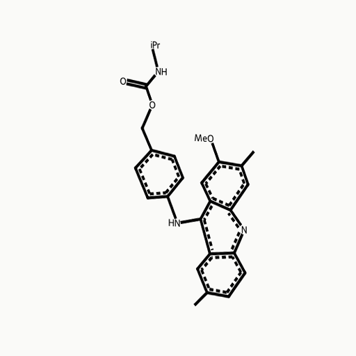 COc1cc2c(Nc3ccc(COC(=O)NC(C)C)cc3)c3cc(C)ccc3nc2cc1C